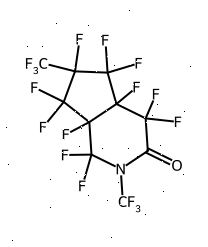 O=C1N(C(F)(F)F)C(F)(F)C2(F)C(F)(F)C(F)(C(F)(F)F)C(F)(F)C2(F)C1(F)F